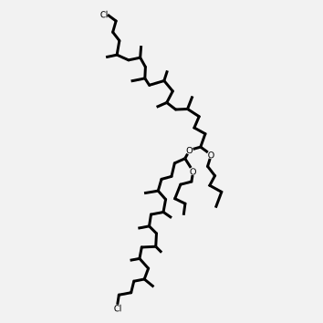 CCCCCOC(CCCC(C)CC(C)CC(C)CC(C)CC(C)CC(C)CCCCl)OC(CCCC(C)CC(C)CC(C)CC(C)CC(C)CC(C)CCCCl)OCCCCC